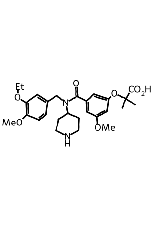 CCOc1cc(CN(C(=O)c2cc(OC)cc(OC(C)(C)C(=O)O)c2)C2CCNCC2)ccc1OC